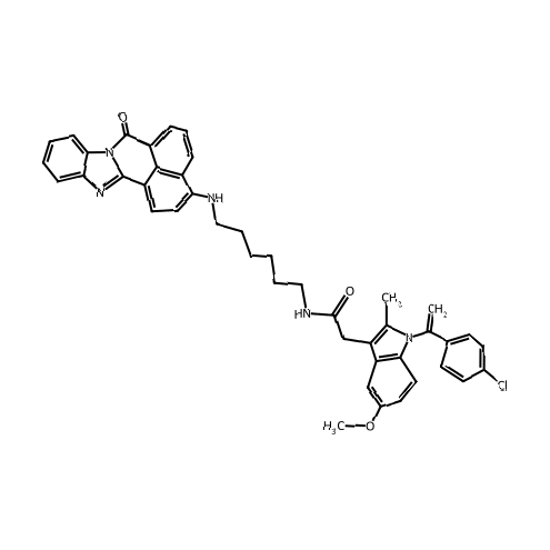 C=C(c1ccc(Cl)cc1)n1c(C)c(CC(=O)NCCCCCCNc2ccc3c4c2cccc4c(=O)n2c4ccccc4nc32)c2cc(OC)ccc21